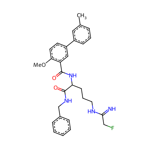 COc1ccc(-c2cccc(C)c2)cc1C(=O)NC(CCCNC(=N)CF)C(=O)NCc1ccccc1